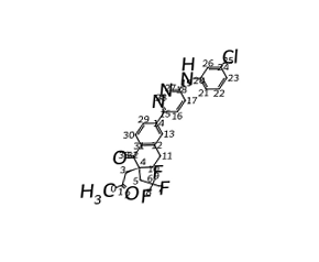 CC(=O)C[C@]1(CC(F)(F)F)CCc2cc(-c3ccc(Nc4cccc(Cl)c4)nn3)ccc2C1=O